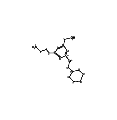 NCCCc1cc(CO)cc(OCC2CCCCC2)c1